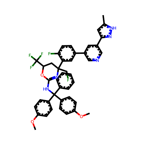 COc1ccc(C(NC2=NC(CF)(c3cc(-c4cncc(-c5cc(C)[nH]n5)c4)ccc3F)CC(C(F)(F)F)O2)(c2ccccc2)c2ccc(OC)cc2)cc1